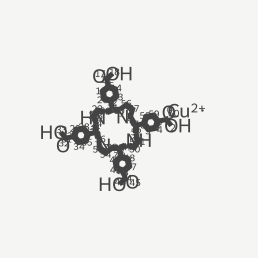 O=C(O)c1ccc(-c2c3nc(c(-c4ccc(C(=O)O)cc4)c4ccc([nH]4)c(-c4ccc(C(=O)O)cc4)c4nc(c(-c5ccc(C(=O)O)cc5)c5ccc2[nH]5)C=C4)C=C3)cc1.[Cu+2]